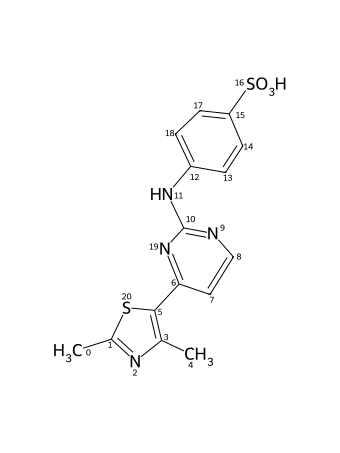 Cc1nc(C)c(-c2ccnc(Nc3ccc(S(=O)(=O)O)cc3)n2)s1